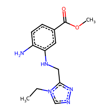 CCn1cnnc1CNc1cc(C(=O)OC)ccc1N